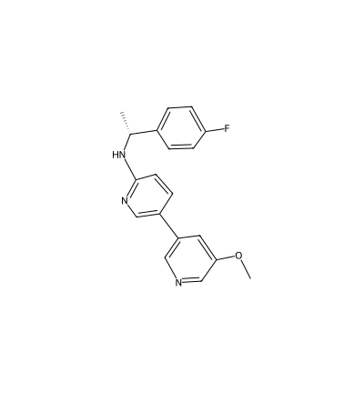 COc1cncc(-c2ccc(N[C@H](C)c3ccc(F)cc3)nc2)c1